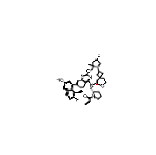 C#Cc1c(F)ccc2cc(O)cc(C3=Cc4nc(OC[C@]5(C)C[C@@H](F)CN5C5CC6(CCOCC6)C5)nc(N(C)C[C@@H]5CCCN5C(=O)C=C)c4CC3)c12